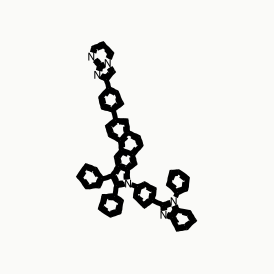 c1ccc(-c2c(-c3ccccc3)n(-c3ccc(-c4nc5ccccc5n4-c4ccccc4)cc3)c3cc4ccc5cc(-c6ccc(-c7cn8cccnc8n7)cc6)ccc5c4cc23)cc1